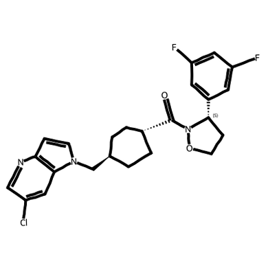 O=C([C@H]1CC[C@H](Cn2ccc3ncc(Cl)cc32)CC1)N1OCC[C@H]1c1cc(F)cc(F)c1